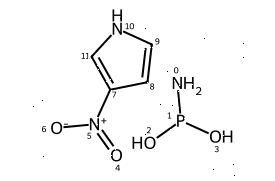 NP(O)O.O=[N+]([O-])c1cc[nH]c1